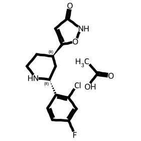 CC(=O)O.O=c1cc([C@@H]2CCN[C@@H](c3ccc(F)cc3Cl)C2)o[nH]1